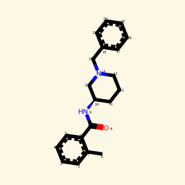 Cc1ccccc1C(=O)N[C@@H]1CCCN(Cc2ccccc2)C1